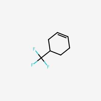 FC(F)(F)C1CC=CCC1